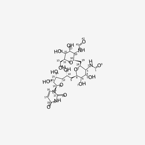 O=CNC1C(O)C(O)[C@@H](C[C@@H](O)[C@@H]2O[C@@H](n3ccc(=O)[nH]c3=O)[C@H](O)[C@@H]2O)O[C@H]1C[C@H]1O[C@@H](CO)C(O)C(O)C1NC=O